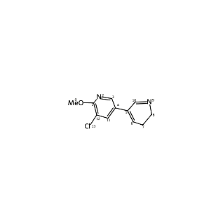 COc1ncc(C2=CCCN=C2)cc1Cl